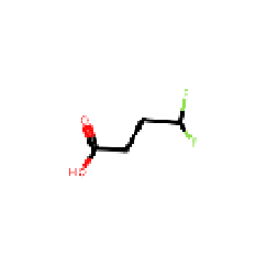 O=C(O)CCC(F)F